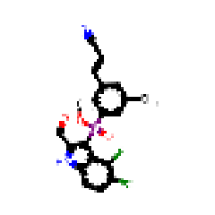 COP(=O)(c1cc(C)cc(/C=C/C#N)c1)c1c(C=O)[nH]c2ccc(Cl)c(F)c12